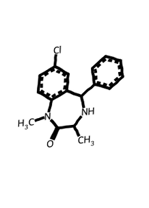 CC1NC(c2ccccc2)c2cc(Cl)ccc2N(C)C1=O